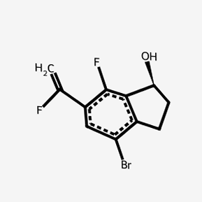 C=C(F)c1cc(Br)c2c(c1F)[C@@H](O)CC2